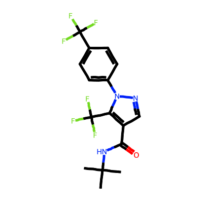 CC(C)(C)NC(=O)c1cnn(-c2ccc(C(F)(F)F)cc2)c1C(F)(F)F